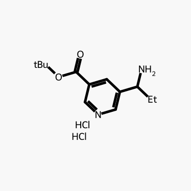 CCC(N)c1cncc(C(=O)OC(C)(C)C)c1.Cl.Cl